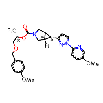 COc1ccc(COC[C@@H](OC(=O)N2CC3[C@@H](C2)[C@H]3c2ccn(-c3ccc(OC)cn3)n2)C(F)(F)F)cc1